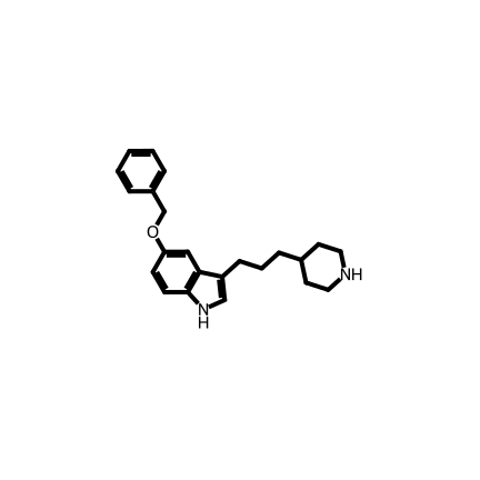 c1ccc(COc2ccc3[nH]cc(CCCC4CCNCC4)c3c2)cc1